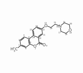 Cc1ccc2c(c1)oc(=O)c1cc(OCCN3CCOCC3)ccc12